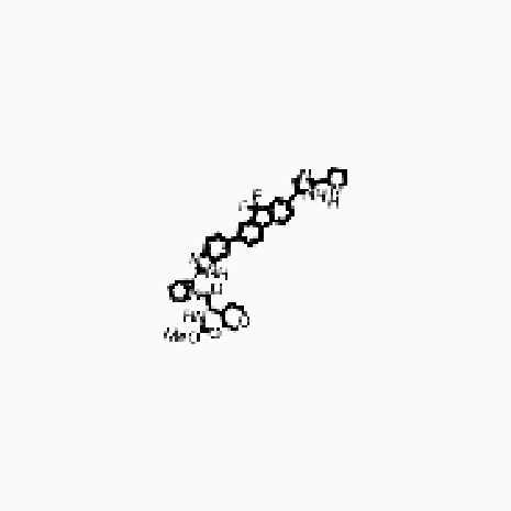 COC(=O)N[C@H](C(=O)N1C2CCC(C2)[C@H]1c1nc2ccc(-c3ccc4c(c3)C(F)(F)c3cc(-c5cnc(C6CCCN6)[nH]5)ccc3-4)cc2[nH]1)C1CCOCC1